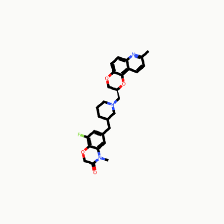 Cc1ccc2c3c(ccc2n1)OC[C@H](CN1CCCC(Cc2cc(F)c4c(c2)N(C)C(=O)CO4)C1)O3